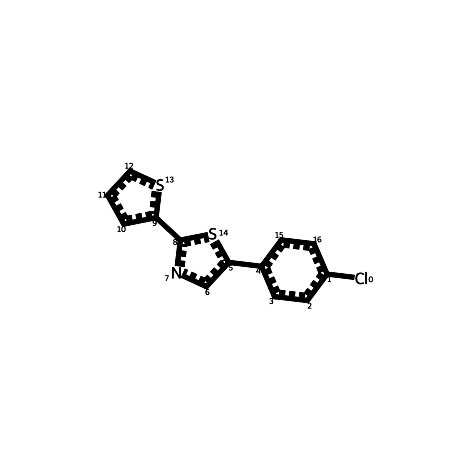 Clc1ccc(-c2cnc(-c3cccs3)s2)cc1